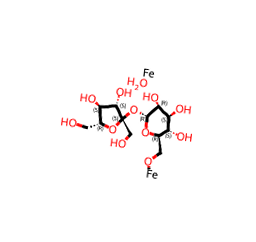 O.OC[C@H]1O[C@@](CO)(O[C@H]2O[C@H](C[O][Fe])[C@@H](O)[C@H](O)[C@H]2O)[C@@H](O)[C@@H]1O.[Fe]